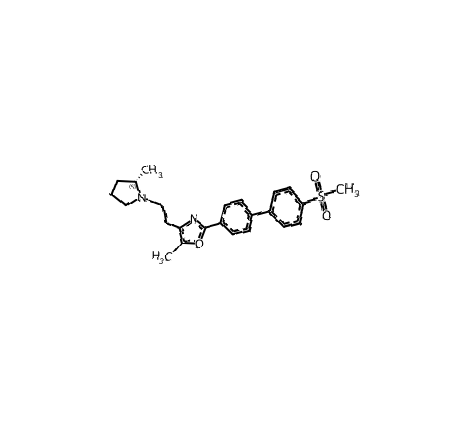 Cc1oc(-c2ccc(-c3ccc(S(C)(=O)=O)cc3)cc2)nc1CCN1CCC[C@@H]1C